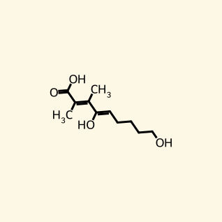 CC(C(=O)O)=C(C)C(O)=CCCCCO